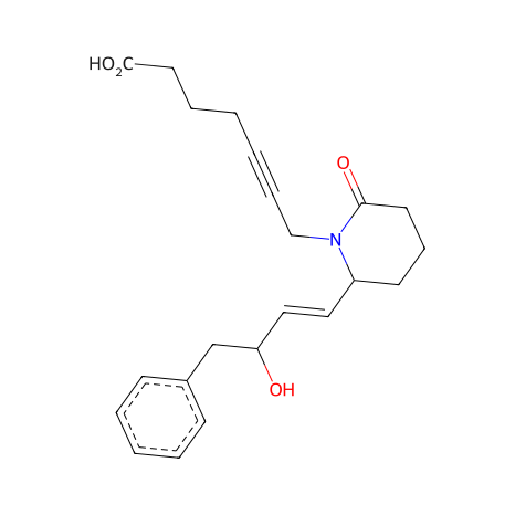 O=C(O)CCCC#CCN1C(=O)CCCC1C=CC(O)Cc1ccccc1